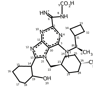 C[C@@H](Nc1nc(C(=N)NC(=O)O)nc2nc(C3CCCCC3O)n(C[C@H]3CC[C@H](C)CC3)c12)C1CCC1